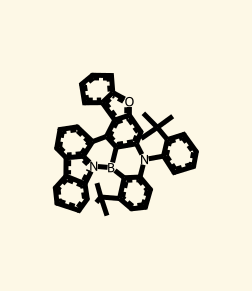 CC(C)(C)c1ccccc1N1c2cccc(C(C)(C)C)c2B2c3c1cc1oc4ccccc4c1c3-c1cccc3c4ccccc4n2c13